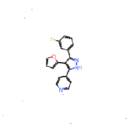 Fc1cccc(-c2n[nH]c(-c3ccncc3)c2-c2ccco2)c1